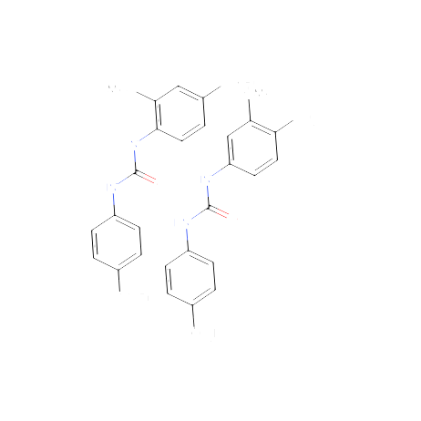 CCOC(=O)c1ccc(NC(=O)Nc2ccc(C(=O)OCC)c(OC)c2)cc1.CCOC(=O)c1ccc(NC(=O)Nc2ccc(C(=O)OCC)cc2OC)cc1